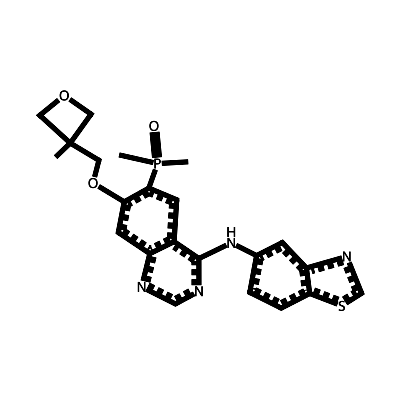 CC1(COc2cc3ncnc(Nc4ccc5scnc5c4)c3cc2P(C)(C)=O)COC1